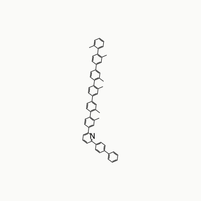 Cc1ccccc1-c1ccc(-c2ccc(-c3ccc(-c4ccc(-c5ccc(-c6cccc(-c7ccc(-c8ccccc8)cc7)n6)cc5C)c(C)c4)cc3C)c(C)c2)cc1C